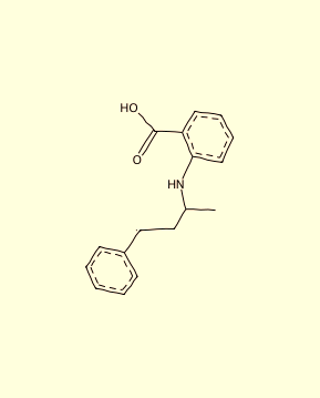 CC(C[CH]c1ccccc1)Nc1ccccc1C(=O)O